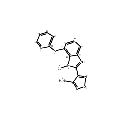 CCn1c(-c2nonc2N)nc2cncc(Sc3ccccn3)c21